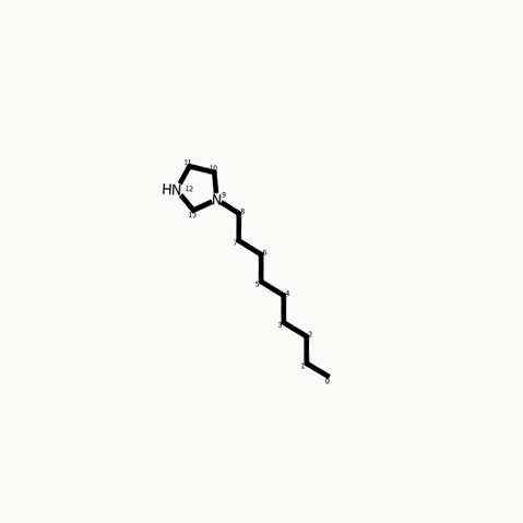 CCCCCCCCCN1CCNC1